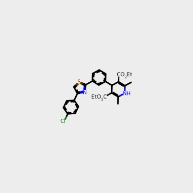 CCOC(=O)C1=C(C)NC(C)=C(C(=O)OCC)C1c1cccc(-c2nc(-c3ccc(Cl)cc3)cs2)c1